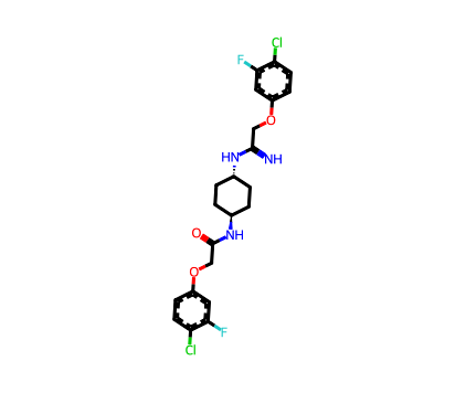 N=C(COc1ccc(Cl)c(F)c1)N[C@H]1CC[C@H](NC(=O)COc2ccc(Cl)c(F)c2)CC1